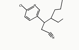 CCCC(CC)C(CC#N)c1ccc(Cl)nc1